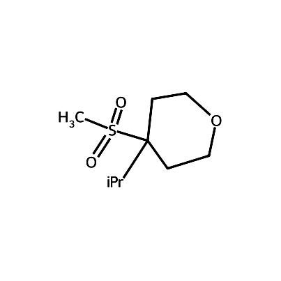 CC(C)C1(S(C)(=O)=O)CCOCC1